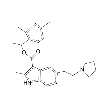 Cc1ccc(C(C)OC(=O)c2c(C)[nH]c3ccc(CCN4CCCC4)cc23)c(C)c1